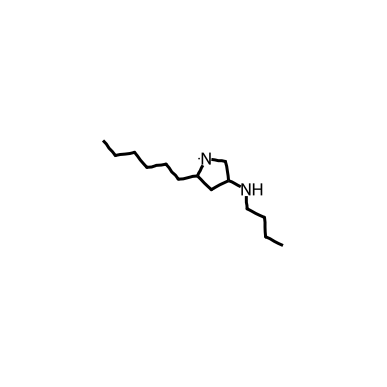 CCCCCCC1CC(NCCCC)C[N]1